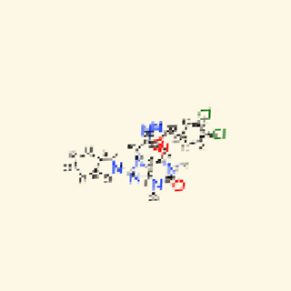 Cn1c(=O)c2c(nc(N3CC4CCCCC4C3)n2Cc2nnc(-c3ccc(Cl)c(Cl)c3)o2)n(C)c1=O